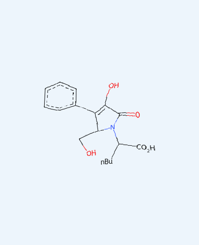 CCCCC(C(=O)O)N1C(=O)C(O)=C(c2ccccc2)C1CO